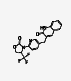 O=C1OCC(C(F)(F)F)N1c1ccc(Cc2cc3ccccc3[nH]c2=O)cn1